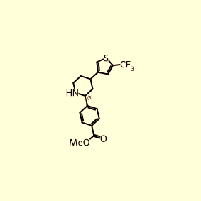 COC(=O)c1ccc([C@@H]2CC(c3csc(C(F)(F)F)c3)CCN2)cc1